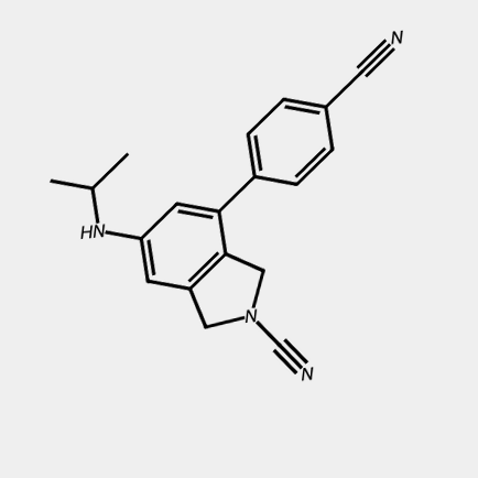 CC(C)Nc1cc2c(c(-c3ccc(C#N)cc3)c1)CN(C#N)C2